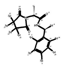 [2H]c1c([2H])c([2H])c([C@H]([2H])NC(=O)[C@@H](C)N2C(=O)C([2H])([2H])C([2H])([2H])C2=O)c([2H])c1[2H]